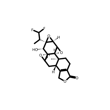 CC(C(F)F)[C@]12O[C@H]1[C@@H]1O[C@]13[C@]1(O[C@H]1C[C@H]1C4=C(CC[C@@]13C)C(=O)OC4)[C@@H]2O